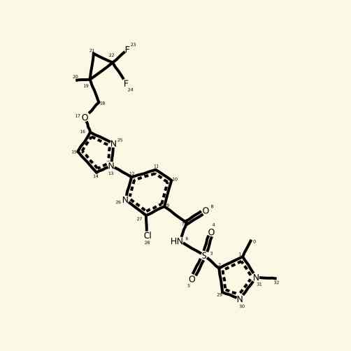 Cc1c(S(=O)(=O)NC(=O)c2ccc(-n3ccc(OCC4(C)CC4(F)F)n3)nc2Cl)cnn1C